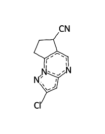 N#CC1CCc2c1cnc1cc(Cl)nn21